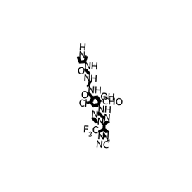 N#CCn1cc(-c2cnc3c(Nc4ccc(C(=O)NCCNCC(=O)N[C@@H]5CCNC5)c(Cl)c4)nccn23)c(C(F)(F)F)n1.O=CO